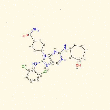 NC(=O)C1CCC(n2c(Nc3c(Cl)cccc3Cl)nc3cnc(N[C@@H]4CCCC[C@H](O)C4)nc32)CC1